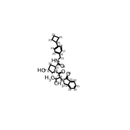 CC(C)C(C(=O)N1C[C@H](O)C[C@H]1C(=O)NCc1ccc(C2CCC2)cc1)N1Cc2ccccc2C1=O